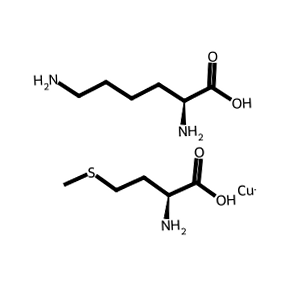 CSCC[C@H](N)C(=O)O.NCCCC[C@H](N)C(=O)O.[Cu]